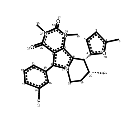 Cc1ccc([C@H]2c3c4c(c(-c5cccc(F)c5)n3CC[C@H]2C)c(=O)n(C)c(=O)n4C)o1